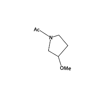 COC1CCN(C(C)=O)C1